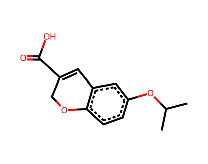 CC(C)Oc1ccc2c(c1)C=C(C(=O)O)CO2